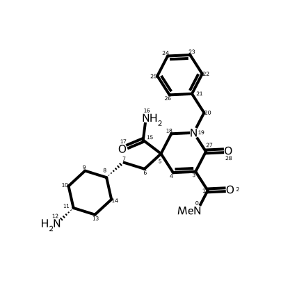 CNC(=O)C1=CC(CC[C@H]2CC[C@@H](N)CC2)(C(N)=O)CN(Cc2ccccc2)C1=O